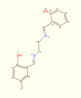 Cc1ccc(O)c(/C=N/CC/N=C/c2ccccc2O)c1